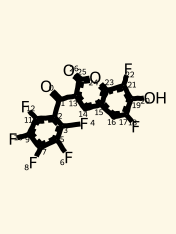 O=C(c1c(F)c(F)c(F)c(F)c1F)c1cc2cc(F)c(O)c(F)c2oc1=O